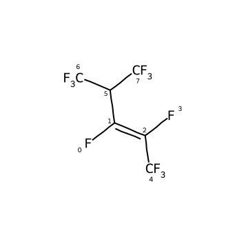 F/C(=C(/F)C(F)(F)F)C(C(F)(F)F)C(F)(F)F